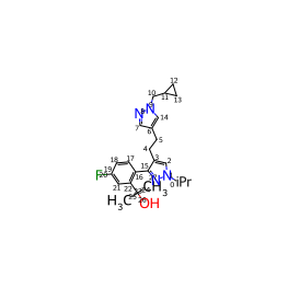 CC(C)n1cc(CCc2cnn(CC3CC3)c2)c(-c2ccc(F)cc2C(C)(C)O)n1